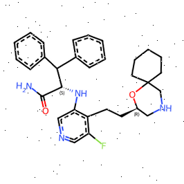 NC(=O)[C@@H](Nc1cncc(F)c1CC[C@@H]1CNCC2(CCCCC2)O1)C(c1ccccc1)c1ccccc1